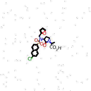 C[C@@H](C(=O)O)N1CC[C@H](N(Cc2ccco2)S(=O)(=O)c2ccc3cc(Cl)ccc3c2)C1=O